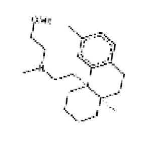 COCCN(C)CC[C@@]12CCCC[C@]1(C)CCc1ccc(C)cc12